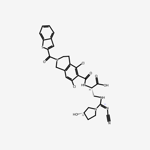 N#C/N=C(/NC[C@H](NC(=O)c1c(Cl)cc2c(c1Cl)CCN(C(=O)c1cc3ccccc3s1)C2)C(=O)O)N1CC[C@H](O)C1